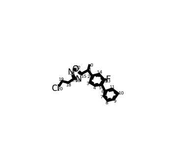 CC(c1ccc(-c2ccccc2)c(F)c1)c1nc(CCCl)no1